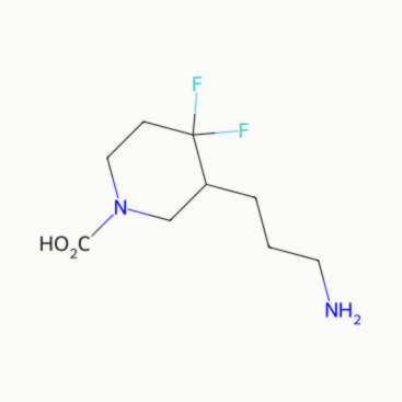 NCCCC1CN(C(=O)O)CCC1(F)F